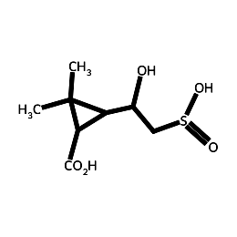 CC1(C)C(C(=O)O)C1C(O)CS(=O)O